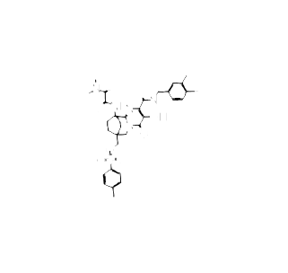 Cc1ccc(S(=O)(=O)OCC23CCC(NC(=O)C(=O)N(C)C)(CC2)c2nc(C(=O)NCc4ccc(F)c(C)c4)c(O)c(=O)n2C3)cc1